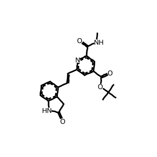 CNC(=O)c1cc(C(=O)OC(C)(C)C)cc(C=Cc2cccc3c2CC(=O)N3)n1